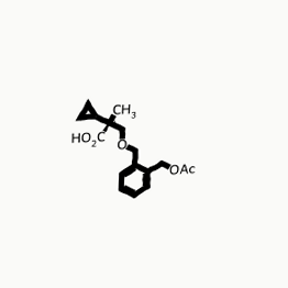 CC(=O)OCc1ccccc1COC[C@](C)(C(=O)O)C1CC1